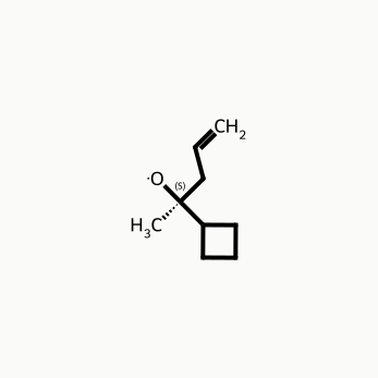 C=CC[C@](C)([O])C1CCC1